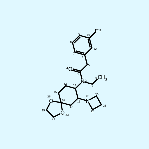 CCN(C(=O)Cc1cccc(F)c1)C1CCC2(CC1N1CCC1)OCCO2